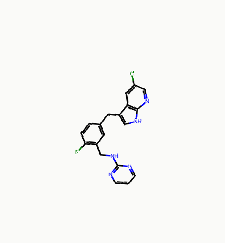 Fc1ccc(Cc2c[nH]c3ncc(Cl)cc23)cc1CNc1ncccn1